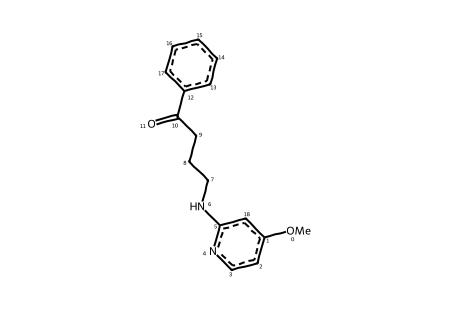 COc1ccnc(NCCCC(=O)c2ccccc2)c1